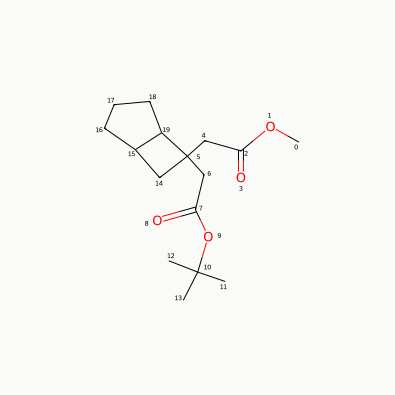 COC(=O)CC1(CC(=O)OC(C)(C)C)CC2CCCC21